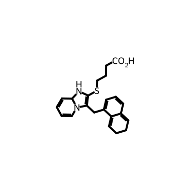 O=C(O)CCCSC1=C(Cc2cccc3c2=CCCC=3)N2C=CC=CC2N1